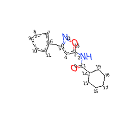 O=C(Nc1cc(-c2ccccc2)no1)C1CCCCC1